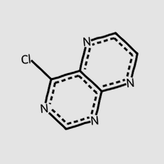 Clc1ncnc2nccnc12